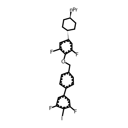 CCC[C@H]1CC[C@H](c2cc(F)c(OCc3ccc(-c4cc(F)c(I)c(F)c4)cc3)c(F)c2)CC1